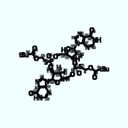 CC(C)(C)C(=O)OCSP1(=O)OC[C@H]2OC(n3cnc4c(=O)[nH]cnc43)[C@H](OP(=O)(SCOC(=O)C(C)(C)C)OC[C@H]3O[C@@H](n4cnc5c(=O)[nH]cnc54)[C@H](F)[C@@H]3O1)[C@H]2F